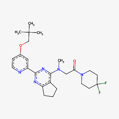 CN(CC(=O)N1CCC(F)(F)CC1)c1nc(-c2cc(OCC(C)(C)C)ccn2)nc2c1CCC2